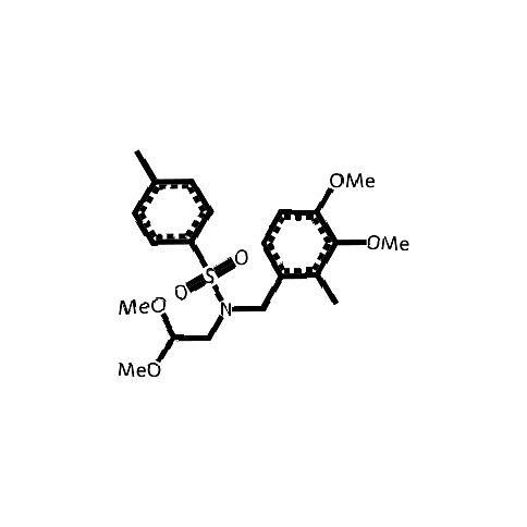 COc1ccc(CN(CC(OC)OC)S(=O)(=O)c2ccc(C)cc2)c(C)c1OC